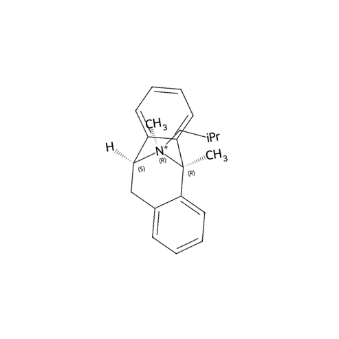 CC(C)C[N@+]1(C)[C@H]2Cc3ccccc3[C@]1(C)c1ccccc12